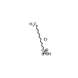 CCCCCCCCCCCCOS(=O)(=O)O.[Cr]